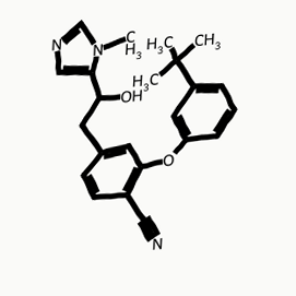 Cn1cncc1C(O)Cc1ccc(C#N)c(Oc2cccc(C(C)(C)C)c2)c1